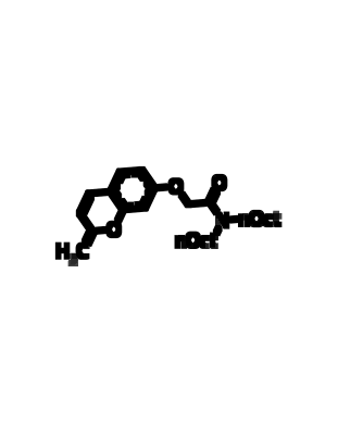 C=C1C=Cc2ccc(OCC(=O)N(CCCCCCCC)CCCCCCCC)cc2O1